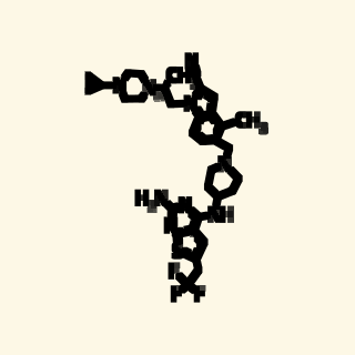 Cc1c(CN2CCC(Nc3nc(N)nc4sc(CC(F)(F)F)cc34)CC2)ccc2c1cc(C#N)n2C[C@H](C)N1CCN(C2CC2)CC1